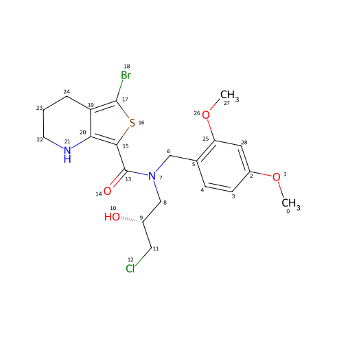 COc1ccc(CN(C[C@@H](O)CCl)C(=O)c2sc(Br)c3c2NCCC3)c(OC)c1